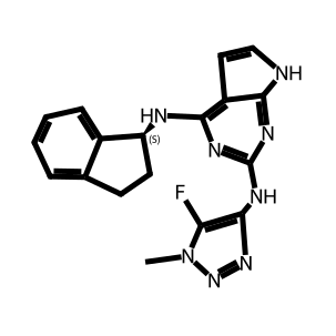 Cn1nnc(Nc2nc(N[C@H]3CCc4ccccc43)c3cc[nH]c3n2)c1F